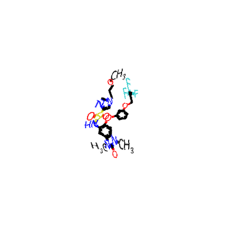 COCCCn1cnc(S(=O)(=O)Nc2cc3c(cc2Oc2cccc(OCC(F)(F)F)c2)n(C)c(=O)n3C)c1